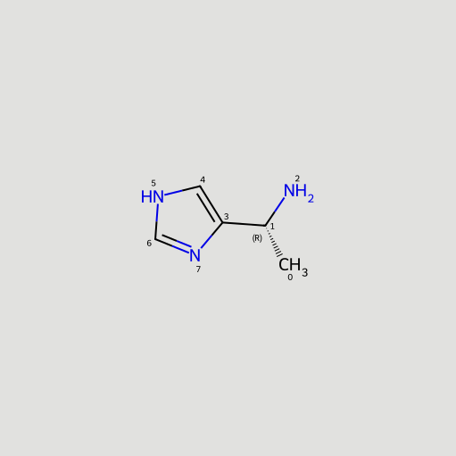 C[C@@H](N)c1c[nH]cn1